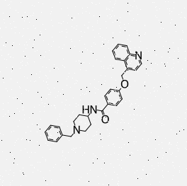 O=C(NC1CCN(Cc2ccccc2)CC1)c1ccc(OCc2ccnc3ccccc23)cc1